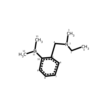 CCN(C)Cc1cccc[c]1[Bi]([CH3])[CH3]